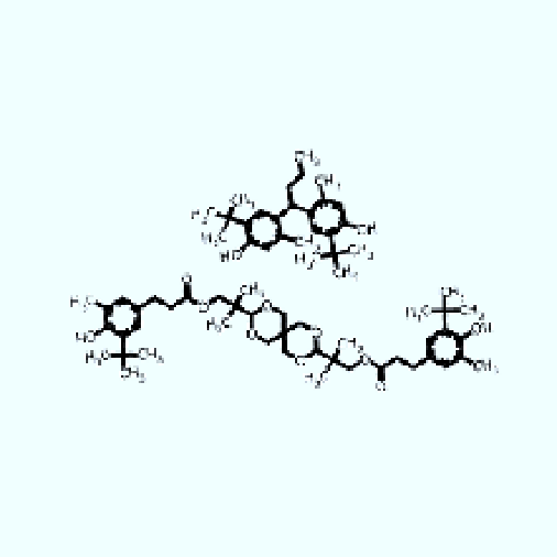 CCCC(c1cc(C(C)(C)C)c(O)cc1C)c1cc(C(C)(C)C)c(O)cc1C.Cc1cc(CCC(=O)OCC(C)(C)C2OCC3(CO2)COC(C(C)(C)COC(=O)CCc2cc(C)c(O)c(C(C)(C)C)c2)OC3)cc(C(C)(C)C)c1O